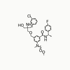 COOSN(C)c1cc(COCC(N)(CO)Cc2cccc(Cl)c2)cc(C(=O)N[C@H](C)c2ccc(F)cc2)c1